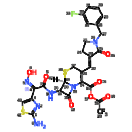 Nc1nc(/C(=N/O)C(=O)N[C@@H]2C(=O)N3C(C(=O)OC(=O)C(F)(F)F)=C(C=C4CCN(Cc5cccc(F)c5)C4=O)CS[C@H]23)cs1